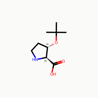 CC(C)(C)O[C@H]1CCN[C@@H]1C(=O)O